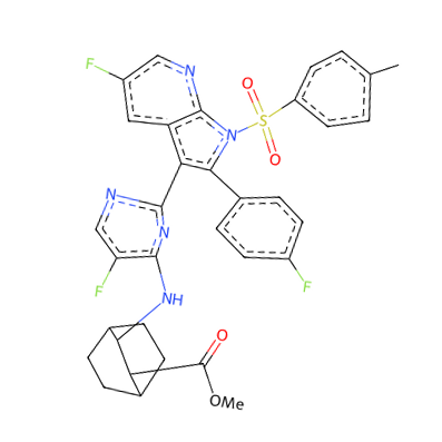 COC(=O)C1C2CCC(CC2)C1Nc1nc(-c2c(-c3ccc(F)cc3)n(S(=O)(=O)c3ccc(C)cc3)c3ncc(F)cc23)ncc1F